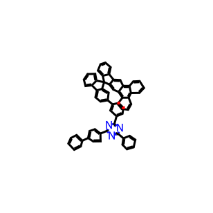 c1ccc(-c2ccc(-c3nc(-c4ccccc4)nc(-c4cccc(-c5ccc6c(c5)C5(c7ccccc7-6)c6ccccc6-c6cc7c8ccccc8c8ccccc8c7cc65)c4)n3)cc2)cc1